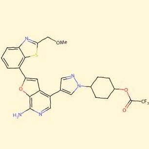 COCc1nc2cccc(-c3cc4c(-c5cnn(C6CCC(OC(=O)C(F)(F)F)CC6)c5)cnc(N)c4o3)c2s1